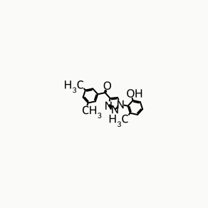 Cc1cc(C)cc(C(=O)c2cn(-c3c(C)cccc3O)nn2)c1